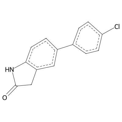 O=C1Cc2cc(-c3ccc(Cl)cc3)ccc2N1